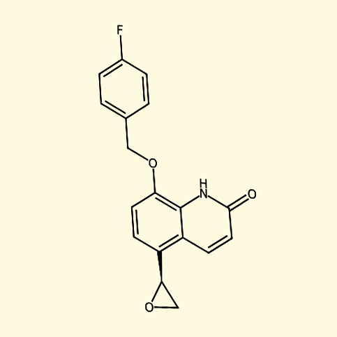 O=c1ccc2c([C@H]3CO3)ccc(OCc3ccc(F)cc3)c2[nH]1